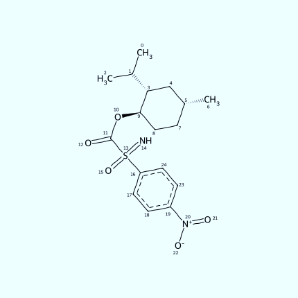 CC(C)[C@@H]1C[C@H](C)CC[C@H]1OC(=O)S(=N)(=O)c1ccc([N+](=O)[O-])cc1